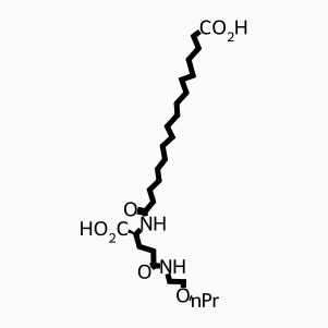 CCCOCCNC(=O)CC[C@H](NC(=O)CCCCCCCCCCCCCCCCC(=O)O)C(=O)O